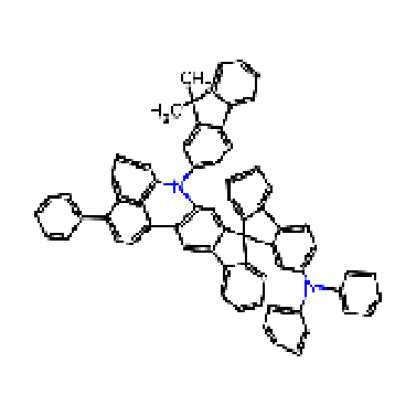 CC1(C)c2ccccc2-c2ccc(N(c3ccccc3)c3cc4c(cc3-c3ccc(-c5ccccc5)cc3)-c3ccccc3C43c4ccccc4-c4ccc(N(c5ccccc5)c5ccccc5)cc43)cc21